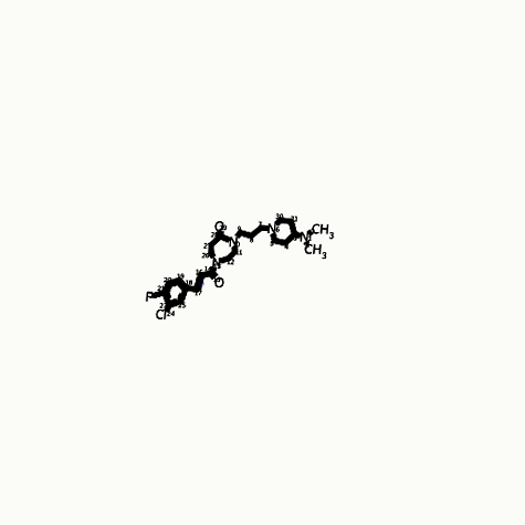 CN(C)C1CCN(CCCN2CCN(C(=O)/C=C/c3ccc(F)c(Cl)c3)CCC2=O)CC1